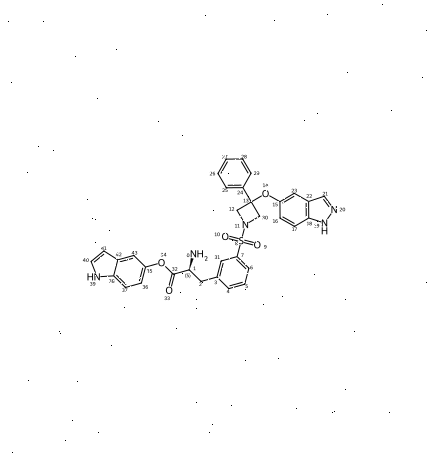 N[C@@H](Cc1cccc(S(=O)(=O)N2CC(Oc3ccc4[nH]ncc4c3)(c3ccccc3)C2)c1)C(=O)Oc1ccc2[nH]ccc2c1